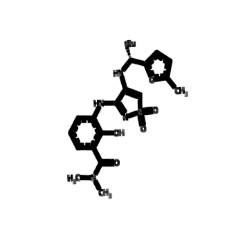 Cc1ccc([C@H](NC2=CS(=O)(=O)N=C2Nc2cccc(C(=O)N(C)C)c2O)C(C)(C)C)o1